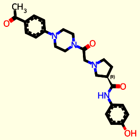 CC(=O)c1ccc(N2CCN(C(=O)CN3CC[C@@H](C(=O)Nc4ccc(O)cc4)C3)CC2)cc1